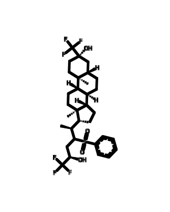 C[C@H](C(C[C@@H](O)C(F)(F)F)S(=O)(=O)c1ccccc1)[C@H]1CC[C@H]2[C@@H]3CC[C@H]4C[C@](O)(C(F)(F)F)CC[C@]4(C)[C@H]3CC[C@]12C